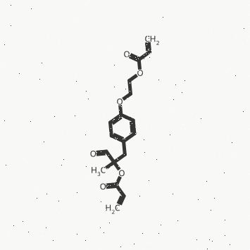 C=CC(=O)OCCOc1ccc(CC(C)(C=O)OC(=O)C=C)cc1